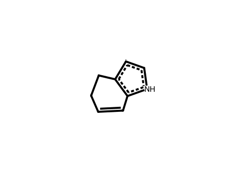 [c]1c[nH]c2c1CCC=C2